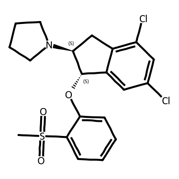 CS(=O)(=O)c1ccccc1O[C@H]1c2cc(Cl)cc(Cl)c2C[C@@H]1N1CCCC1